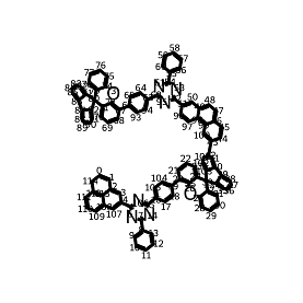 C1=Cc2cc(-c3nc(-c4ccccc4)nc(-c4ccc(-c5cccc6c5Oc5ccccc5C65c6ccccc6-c6cc(-c7ccc8ccc9cc(-c%10nc(-c%11ccccc%11)nc(-c%11ccc(-c%12cccc%13c%12Oc%12ccccc%12C%13%12c%13ccccc%13-c%13ccccc%13%12)cc%11)n%10)ccc9c8c7)ccc65)cc4)n3)cc3cccc(c23)C1